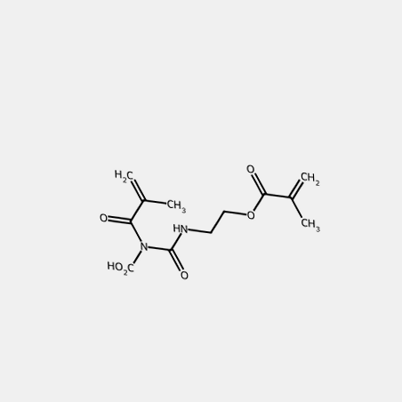 C=C(C)C(=O)OCCNC(=O)N(C(=O)O)C(=O)C(=C)C